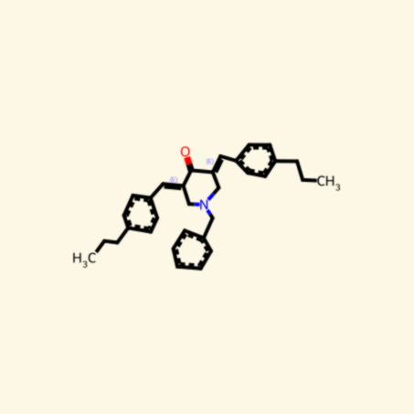 CCCc1ccc(/C=C2\CN(Cc3ccccc3)C/C(=C\c3ccc(CCC)cc3)C2=O)cc1